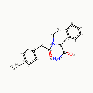 NC(=O)C1c2cc[c]cc2CCN1C(=O)Cc1ccc([N+](=O)[O-])cc1